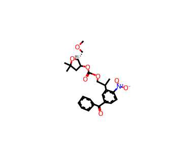 COC[C@H]1OC(C)(C)CC1OC(=O)OCC(C)c1cc(C(=O)c2ccccc2)ccc1[N+](=O)[O-]